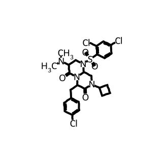 CN(C)C1CN(S(=O)(=O)c2ccc(Cl)cc2Cl)C2CN(C3CCC3)C(=O)C(Cc3ccc(Cl)cc3)N2C1=O